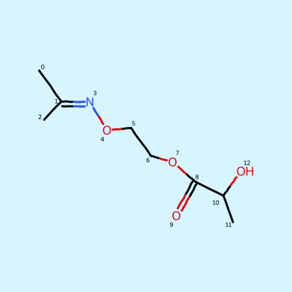 CC(C)=NOCCOC(=O)C(C)O